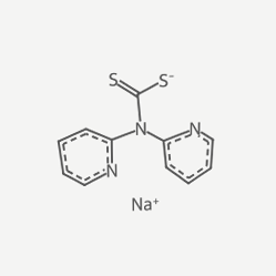 S=C([S-])N(c1ccccn1)c1ccccn1.[Na+]